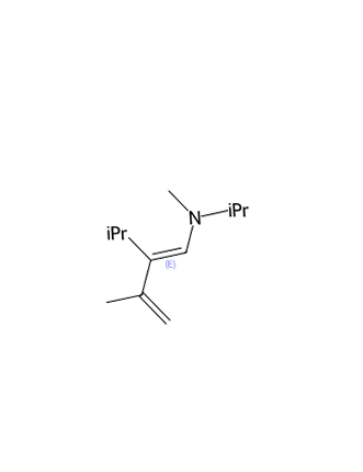 C=C(C)/C(=C/N(C)C(C)C)C(C)C